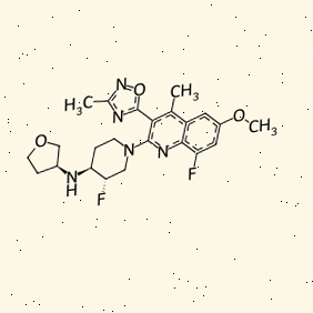 COc1cc(F)c2nc(N3CC[C@H](N[C@H]4CCOC4)[C@@H](F)C3)c(-c3nc(C)no3)c(C)c2c1